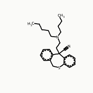 CCCCCN(CCCC)CCC1(C#N)c2ccccc2CSc2ccccc21